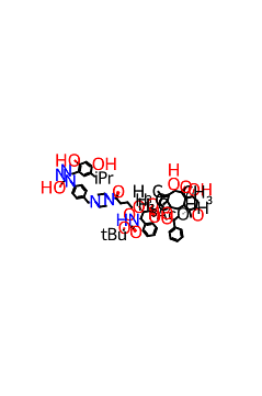 CC(=O)O[C@@]12CO[C@@H]1C[C@H](O)[C@@]1(C)C(=O)[C@H](O)C3=C(C)[C@@H](OC(=O)[C@H](OC(=O)CCC(=O)N4CCN(Cc5ccc(-n6c(O)nnc6-c6cc(C(C)C)c(O)cc6O)cc5)CC4)[C@@H](NC(=O)OC(C)(C)C)c4ccccc4)C[C@@](O)([C@@H](CC(=O)c4ccccc4)[C@H]21)C3(C)C